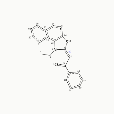 CCN1/C(=C\C(=O)c2ccccc2)Sc2ccc3ccccc3c21